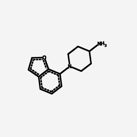 NC1CCN(c2cccc3ccoc23)CC1